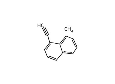 C.C#Cc1cccc2ccccc12